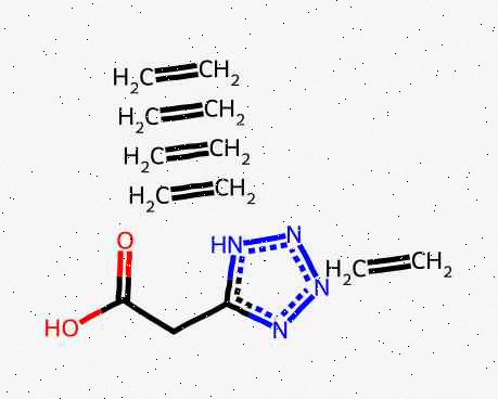 C=C.C=C.C=C.C=C.C=C.O=C(O)Cc1nnn[nH]1